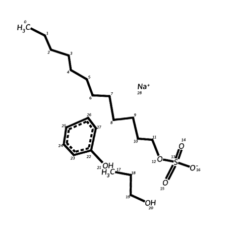 CCCCCCCCCCCCOS(=O)(=O)[O-].CCCO.Oc1ccccc1.[Na+]